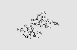 CC[C@H](C)[C@H](NC(=O)[C@H](C)N)C(=O)NCC(=O)N[C@@H](CC(C)C)C(=O)N[C@@H](CCSC)C(N)=O